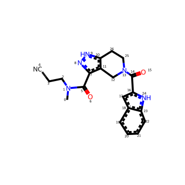 CN(CCC#N)C(=O)c1n[nH]c2c1CN(C(=O)c1cc3ccccc3[nH]1)CC2